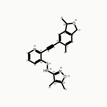 Cc1cc2c(cc1C#Cc1ncccc1SNc1noc(C)c1C)C(C)OC2